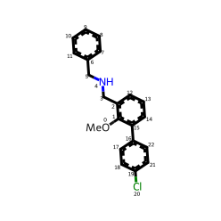 COc1c(CNCc2ccccc2)cccc1-c1ccc(Cl)cc1